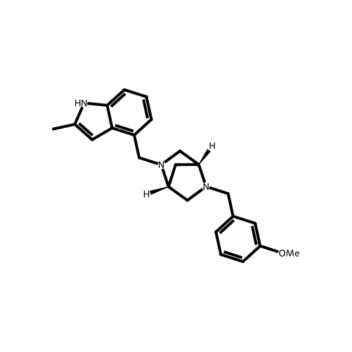 COc1cccc(CN2C[C@H]3C[C@@H]2CN3Cc2cccc3[nH]c(C)cc23)c1